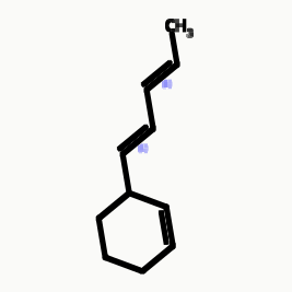 C/C=C/C=C/C1C=CCCC1